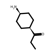 CCC(=O)[C@H]1CC[C@@H](N)CC1